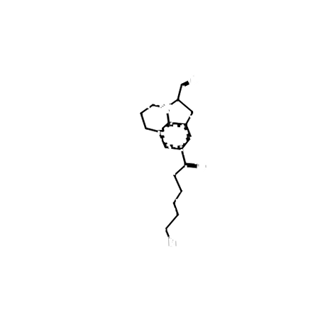 O=CC1Cc2cc(C(=O)CCCCCBr)cc3c2N1CCC3